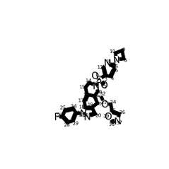 O=S(=O)(c1ccc(N2CCC2)nc1)N1CCC2=Cc3c(cnn3-c3ccc(F)cc3)C[C@]2(COCc2cnco2)C1